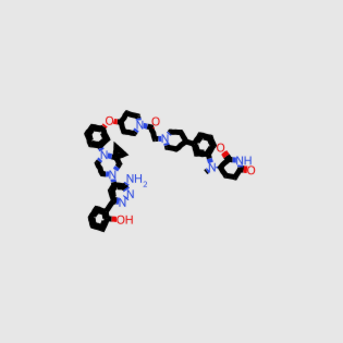 CN(c1cccc(C2CCN(CC(=O)N3CCC(Oc4cccc(N5CCN(c6cc(-c7ccccc7O)nnc6N)CC56CC6)c4)CC3)CC2)c1)[C@H]1CCC(=O)NC1=O